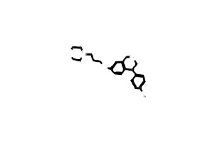 CSc1ccc(C2CN(C)Cc3cc(OCCCN4CCOC[C@@H]4C)ccc32)cc1